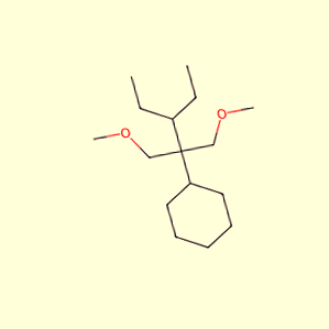 CCC(CC)C(COC)(COC)C1CCCCC1